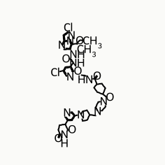 CO[C@@H](C)c1c(NC(=O)Nc2cc(Cl)cnc2OCCNC(=O)C2CCC(C(=O)N3CCN(CC4CCN(c5cncc(C6CCC(=O)NC6=O)c5)CC4)CC3)CC2)cnc2cc(Cl)nn12